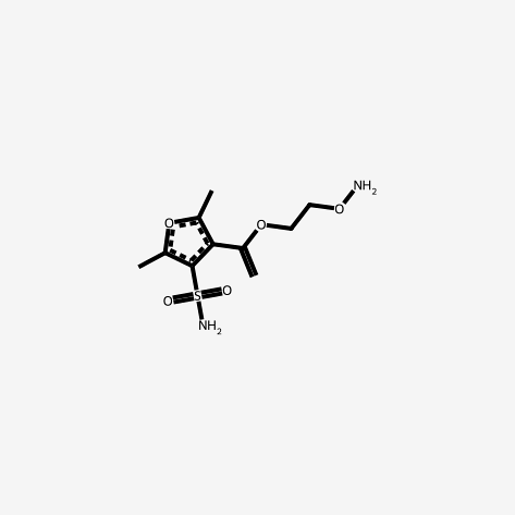 C=C(OCCON)c1c(C)oc(C)c1S(N)(=O)=O